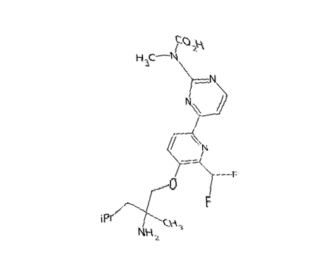 CC(C)CC(C)(N)COc1ccc(-c2ccnc(N(C)C(=O)O)n2)nc1C(F)F